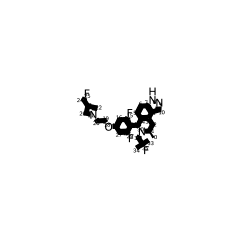 C[C@@H]1Cc2c(ccc3[nH]ncc23)C(c2c(F)cc(OCCN3CC(CF)C3)cc2F)N1CC(C)(C)F